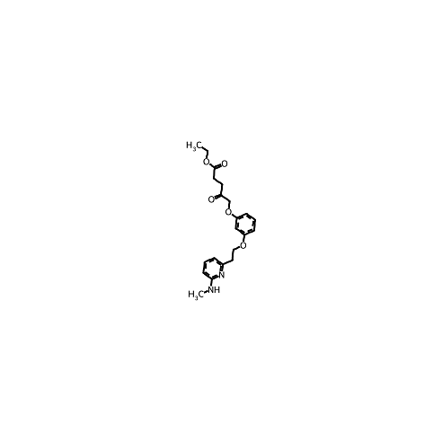 CCOC(=O)CCC(=O)COc1cccc(OCCc2cccc(NC)n2)c1